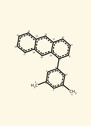 Cc1cc(C)cc(-c2cccc3cc4ccccc4cc23)c1